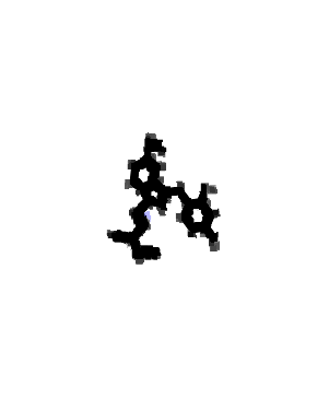 COC(=O)/C=C/c1nn(Cc2ccc(F)cc2F)c2cc(N)ccc12